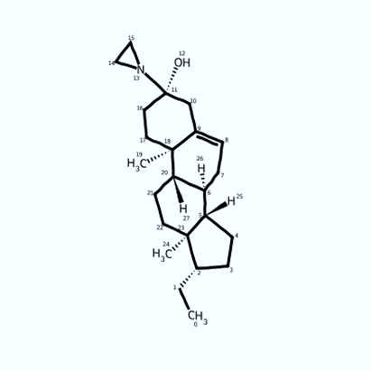 CC[C@H]1CC[C@H]2[C@@H]3CC=C4C[C@](O)(N5CC5)CC[C@]4(C)[C@H]3CC[C@]12C